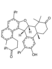 Cc1ccc2cc(C(C)C)c3c(c2c1CCC(=O)C(C)C)[C@H]1c2cc(C(C)C)c(O)cc2[C@@]2(C)CCC(=O)C(C)(C)C2[C@H]1O3